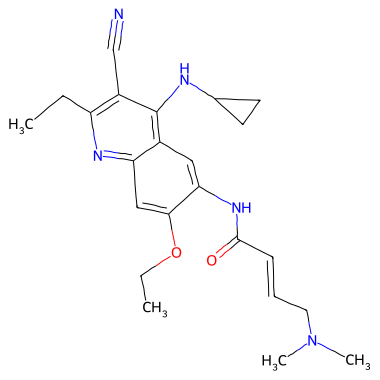 CCOc1cc2nc(CC)c(C#N)c(NC3CC3)c2cc1NC(=O)/C=C/CN(C)C